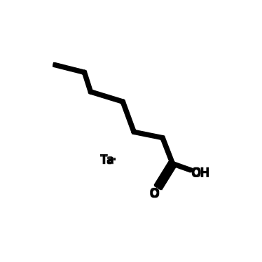 CCCCCCC(=O)O.[Ta]